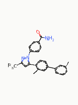 Cc1cccc(-c2ccc(-c3cc(C(F)(F)F)nn3-c3ccc(C(N)=O)cc3)c(C)c2)c1